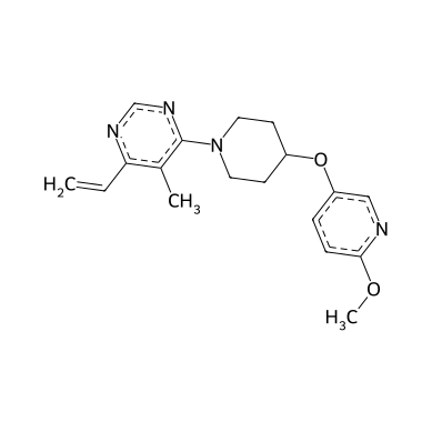 C=Cc1ncnc(N2CCC(Oc3ccc(OC)nc3)CC2)c1C